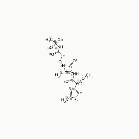 CO/N=C(\C(=O)N[C@@H]1C(=O)N(OCC(=O)NS(C)(=O)=O)[C@H]1C)c1csc(N)n1